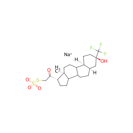 C[C@]12CCC3C(CC[C@@H]4C[C@@](O)(C(F)(F)F)CC[C@H]34)C1CC[C@@H]2C(=O)CSS(=O)(=O)[O-].[Na+]